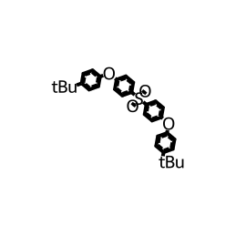 CC(C)(C)c1ccc(Oc2ccc(S(=O)(=O)c3ccc(Oc4ccc(C(C)(C)C)cc4)cc3)cc2)cc1